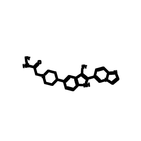 CC(C)NC(=O)CN1CCC(c2ccc3[nH]c(-c4ccc5nccn5c4)c(C(C)C)c3c2)CC1